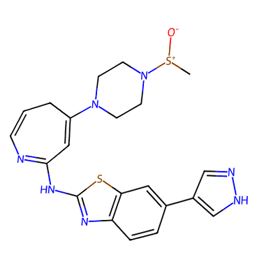 C[S+]([O-])N1CCN(C2=CC(Nc3nc4ccc(-c5cn[nH]c5)cc4s3)=NC=CC2)CC1